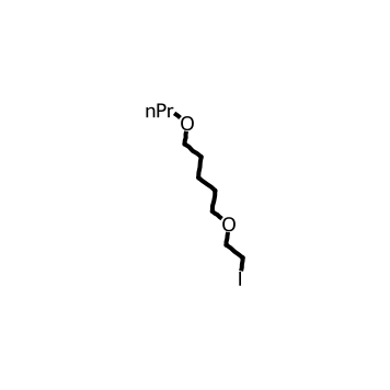 CCCOCCCCCOCCI